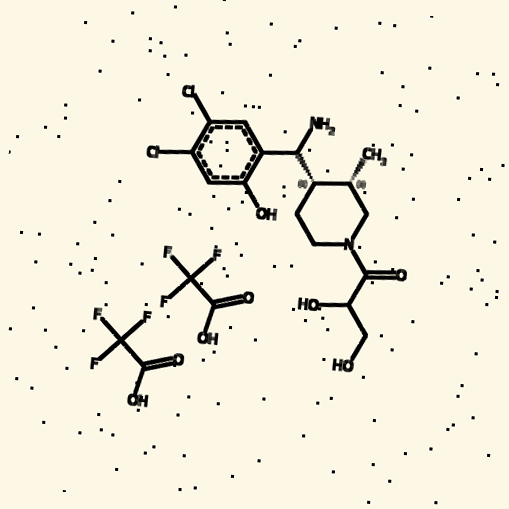 C[C@@H]1CN(C(=O)C(O)CO)CC[C@@H]1C(N)c1cc(Cl)c(Cl)cc1O.O=C(O)C(F)(F)F.O=C(O)C(F)(F)F